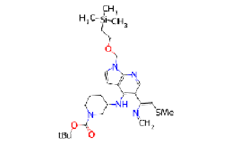 C=N/C(=C\SC)c1cnc2c(ccn2COCC[Si](C)(C)C)c1N[C@@H]1CCCN(C(=O)OC(C)(C)C)C1